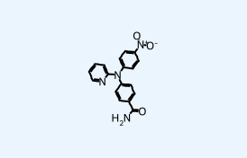 NC(=O)c1ccc(N(c2ccc([N+](=O)[O-])cc2)c2ccccn2)cc1